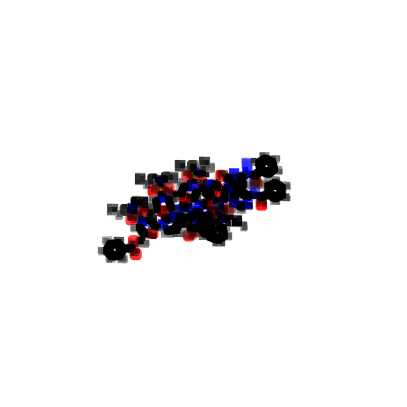 Cc1cn([C@H]2CN([P@@](=O)(OC[C@@H]3CN([P@@](=O)(OC[C@@H]4CNC[C@H](n5cnc6c(NC(=O)c7ccccc7)ncnc65)O4)N(C)C)C[C@H](n4ccc(NC(=O)c5ccccc5)nc4=O)O3)N(C)C)C[C@@H](CO[P@@](=O)(N(C)C)N3C[C@@H](CO[P@@](=O)(N(C)C)N4C[C@@H](COC(=O)c5ccccc5)O[C@@H](n5ccc(NC(=O)c6ccccc6)nc5=O)C4)O[C@@H](n4ccc(NC(=O)c5ccccc5)nc4=O)C3)O2)c(=O)[nH]c1=O